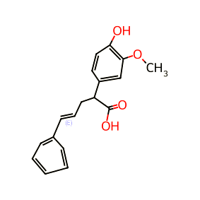 COc1cc(C(C/C=C/c2ccccc2)C(=O)O)ccc1O